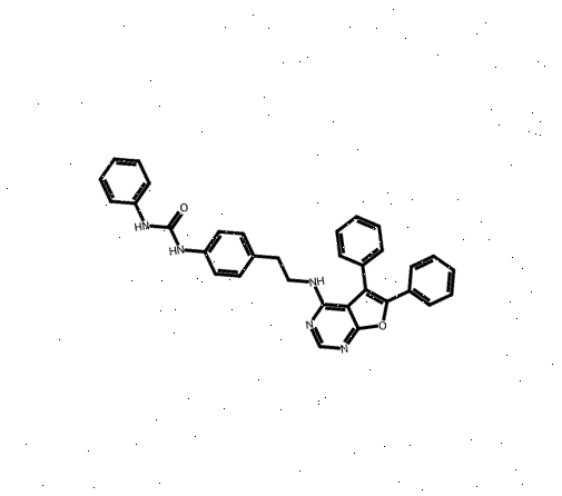 O=C(Nc1ccccc1)Nc1ccc(CCNc2ncnc3oc(-c4ccccc4)c(-c4ccccc4)c23)cc1